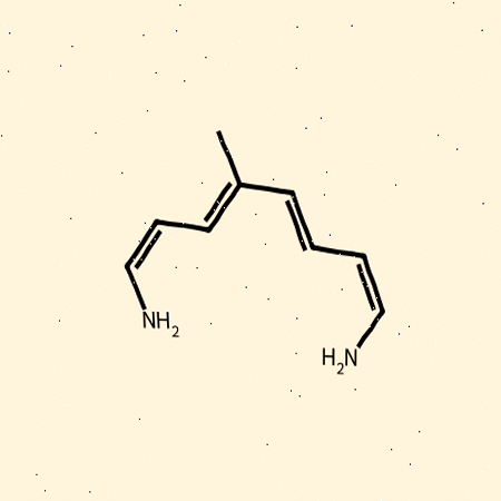 CC(C=C/C=C\N)=C/C=C\N